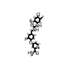 CNC(=O)c1cc(Oc2ccc(CNC(=O)Nc3cc(C)c(Cl)cc3OC)cc2F)ccn1